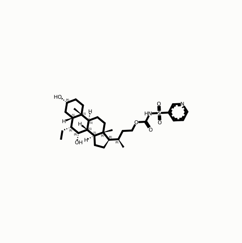 CC[C@H]1[C@@H](O)[C@@H]2[C@H](CC[C@]3(C)[C@@H]([C@H](C)CCOC(=O)NS(=O)(=O)c4cccnc4)CC[C@@H]23)[C@@]2(C)CC[C@@H](O)C[C@@H]12